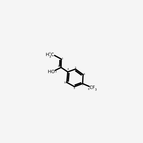 CC=C(O)c1ccc(C(F)(F)F)cc1